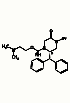 CC(C)N1C[C@H](C(c2ccccc2)c2ccccc2)N(C(=N)OCCN(C)C)CC1=O